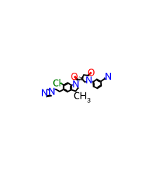 CC1CN(C(=O)[C@H]2CC(=O)N(c3cccc(C#N)c3)C2)c2cc(Cl)c(CCn3ccnc3)cc21